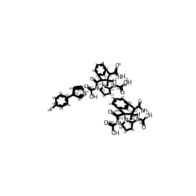 CC1(C)C(C(N)=O)c2cccc(c2)[C@@]1(C(=O)NC(=O)O)N1CCCC1NC(=O)O.CC1(C)C(C(N)=O)c2cccc(c2)[C@@]1(C(=O)NC(=O)O)N1CCCC1NC(=O)O.Fc1ccc(C2C#C[N+]#C2)cc1